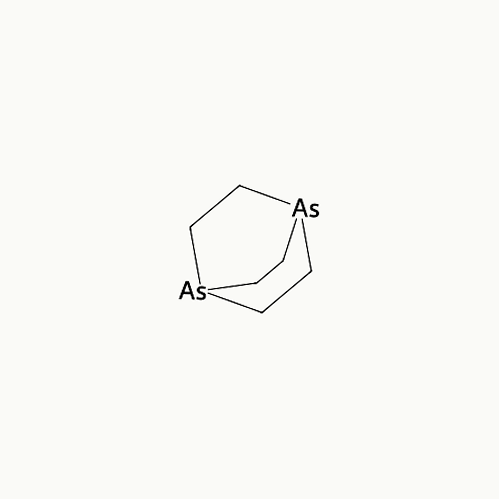 C1C[As]2CC[As]1CC2